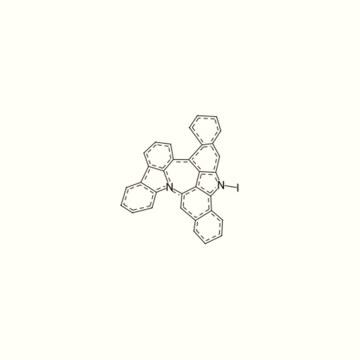 In1c2cc3ccccc3c3c4cccc5c6ccccc6n(c6cc7ccccc7c1c6c32)c54